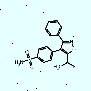 CC(F)c1onc(-c2ccccc2)c1-c1ccc(S(N)(=O)=O)cc1